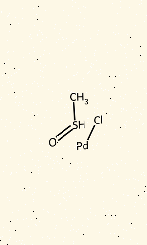 C[SH]=O.[Cl][Pd]